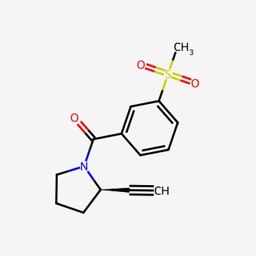 C#C[C@H]1CCCN1C(=O)c1cccc(S(C)(=O)=O)c1